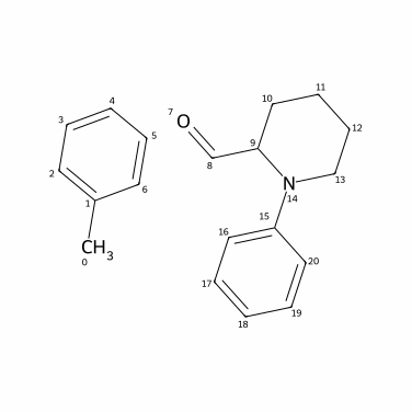 Cc1ccccc1.O=CC1CCCCN1c1ccccc1